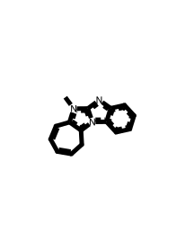 Cn1c2c(n3c4ccccc4nc13)CC=CC=C2